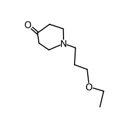 CCOCCCN1CCC(=O)CC1